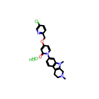 CN1CCc2c(n(C)c3cc(-n4ccc(OCc5ccc(Cl)cn5)cc4=O)ccc23)C1.Cl.Cl